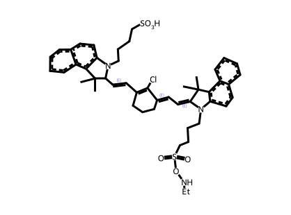 CCNOS(=O)(=O)CCCCN1/C(=C/C=C2\CCCC(/C=C/C3N(CCCCS(=O)(=O)O)c4ccc5ccccc5c4C3(C)C)=C2Cl)C(C)(C)c2c1ccc1ccccc21